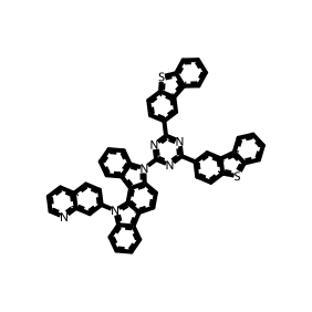 c1cnc2cc(-n3c4ccccc4c4ccc5c(c6ccccc6n5-c5nc(-c6ccc7sc8ccccc8c7c6)nc(-c6ccc7sc8ccccc8c7c6)n5)c43)ccc2c1